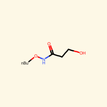 CCCCONC(=O)CCO